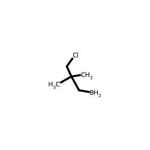 BCC(C)(C)CCl